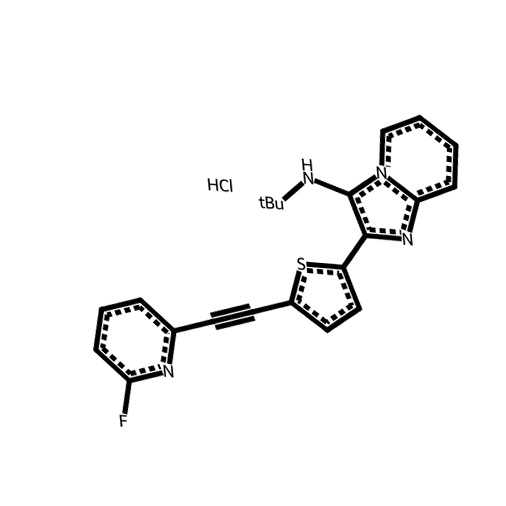 CC(C)(C)Nc1c(-c2ccc(C#Cc3cccc(F)n3)s2)nc2ccccn12.Cl